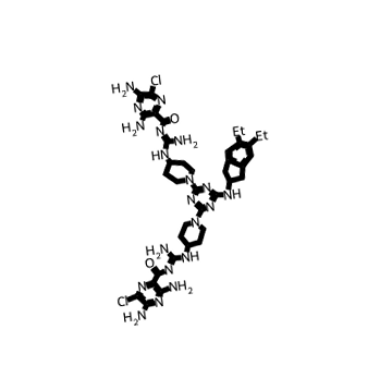 CCc1cc2c(cc1CC)CC(Nc1nc(N3CCC(N/C(N)=N/C(=O)c4nc(Cl)c(N)nc4N)CC3)nc(N3CCC(N/C(N)=N/C(=O)c4nc(Cl)c(N)nc4N)CC3)n1)C2